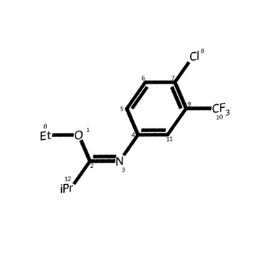 CCOC(=Nc1ccc(Cl)c(C(F)(F)F)c1)C(C)C